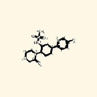 CS(=O)(=O)NC1CC(c2ccc(Cl)cn2)C[CH]C1N1CCOCC1=O